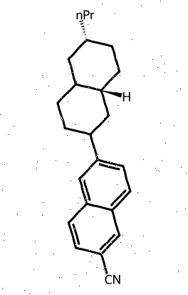 CCC[C@@H]1CC[C@@H]2CC(c3ccc4cc(C#N)ccc4c3)CCC2C1